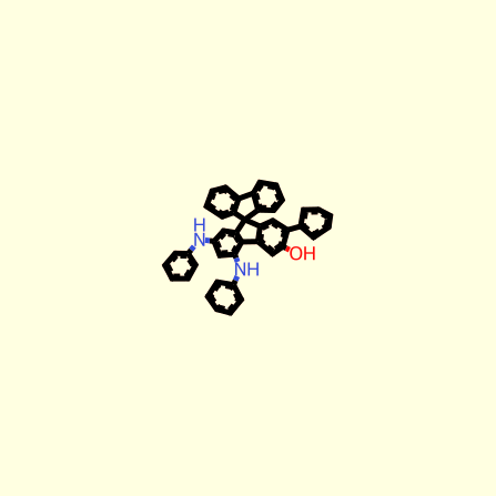 Oc1cc2c(cc1-c1ccccc1)C1(c3ccccc3-c3ccccc31)c1cc(Nc3ccccc3)cc(Nc3ccccc3)c1-2